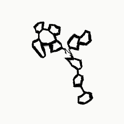 c1ccc(-c2ccc(-c3ccc(N(c4ccc5c(c4)-c4ccccc4-c4ccccc4-c4ccccc4-5)c4ccc5ccccc5c4)cc3)cc2)cc1